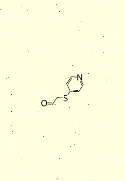 O=[C]CSc1ccncc1